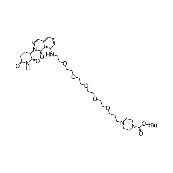 CC(C)(C)OC(=O)N1CCN(CCCOCCOCCOCCOCCOCCNc2cccc3cnn(C4CCC(=O)NC4=O)c(=O)c23)CC1